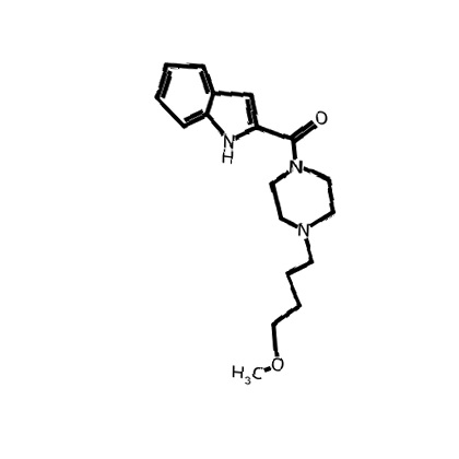 COCCCCN1CCN(C(=O)c2cc3ccccc3[nH]2)CC1